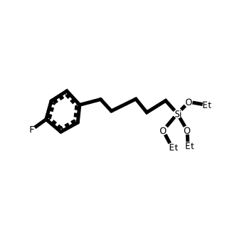 CCO[Si](CCCCCc1ccc(F)cc1)(OCC)OCC